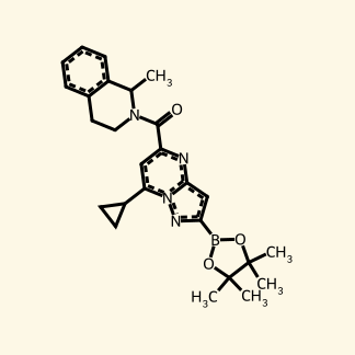 CC1c2ccccc2CCN1C(=O)c1cc(C2CC2)n2nc(B3OC(C)(C)C(C)(C)O3)cc2n1